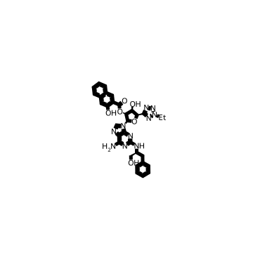 CCn1nnc([C@H]2O[C@@H](n3cnc4c(N)nc(N[C@H](CO)Cc5ccccc5)nc43)[C@H](OC(=O)c3cc4ccccc4cc3O)[C@H]2O)n1